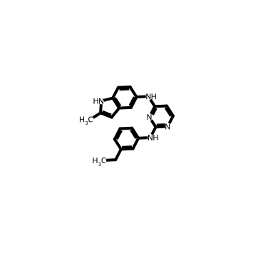 CCc1cccc(Nc2nccc(Nc3ccc4[nH]c(C)cc4c3)n2)c1